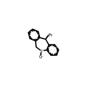 CC(C)C1c2ccccc2C[S+]([O-])c2ccccc21